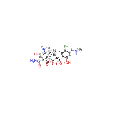 CC(C)NCc1cc(O)c2c(c1F)C[C@H]1C[C@H]3[C@H](N(C)C)C(O)=C(C(N)=O)C(=O)[C@@]3(O)C(O)=C1C2=O